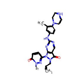 C=CCn1c(=O)c2cnc(Nc3ccc(N4CCNCC4)c(C)c3)nc2n1-c1ccc(=O)n(C(C)C)n1